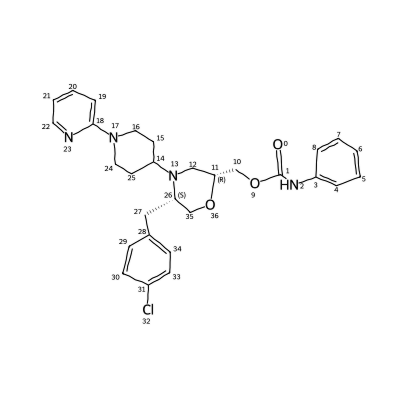 O=C(Nc1ccccc1)OC[C@H]1CN(C2CCN(c3ccccn3)CC2)[C@@H](Cc2ccc(Cl)cc2)CO1